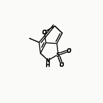 Cc1c2c3oc1cc3S(=O)(=O)N2